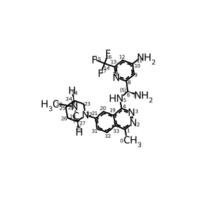 Cc1nnc(N[C@H](N)c2cc(N)cc(C(F)(F)F)n2)c2cc(N3C[C@H]4CC[C@@H]3CN4C)ccc12